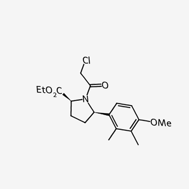 CCOC(=O)[C@@H]1CC[C@H](c2ccc(OC)c(C)c2C)N1C(=O)CCl